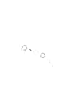 CCCCCOc1ccc([C@H]2CC[C@H](C#Cc3cc(F)c(F)nc3F)CC2)cc1